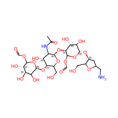 CC(=O)NC1[C@@H](O[C@@H]2C(OC=O)O[C@@H](O[C@H]3CC(CN)OC3CO)C(O)[C@H]2O)OC(CO)[C@@H](O[C@@H]2OC(OC=O)[C@@H](O)[C@H](O)C2O)[C@@H]1O